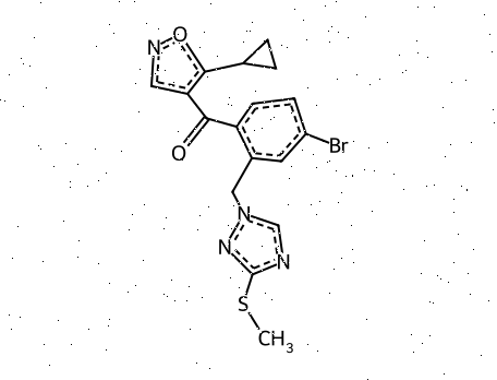 CSc1ncn(Cc2cc(Br)ccc2C(=O)c2cnoc2C2CC2)n1